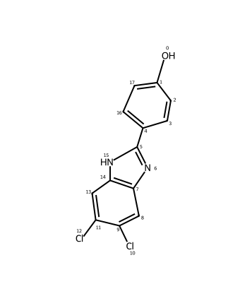 Oc1ccc(-c2nc3cc(Cl)c(Cl)cc3[nH]2)cc1